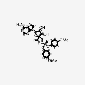 COc1ccc(OP(=S)(OC[C@@]2(C(F)F)O[C@@H](n3cnc4c(N)ncnc43)C(O)C2O)Oc2ccc(OC)cc2)cc1